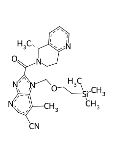 Cc1c(C#N)cnc2nc(C(=O)N3CCc4ncccc4[C@H]3C)n(COCC[Si](C)(C)C)c12